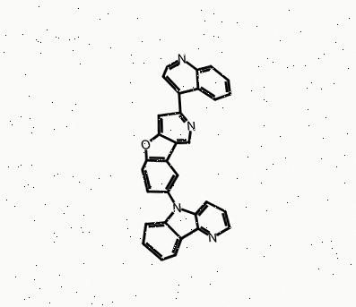 c1ccc2c(-c3cc4oc5ccc(-n6c7ccccc7c7ncccc76)cc5c4cn3)ccnc2c1